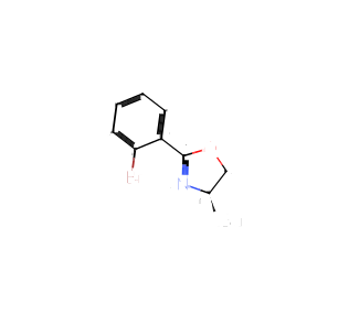 CC(C)(C)[C@@H]1COC(c2ccccc2Br)=N1